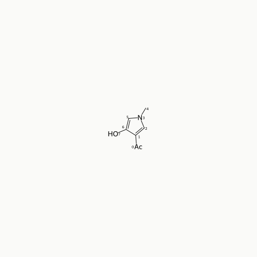 CC(=O)c1cn(C)cc1O